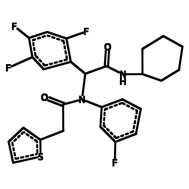 O=C(NC1CCCCC1)C(c1cc(F)c(F)cc1F)N(C(=O)Cc1cccs1)c1cccc(F)c1